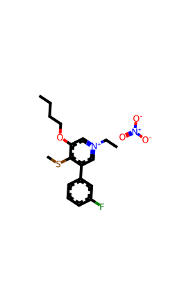 CCCCOc1c[n+](CC)cc(-c2cccc(F)c2)c1SC.O=[N+]([O-])[O-]